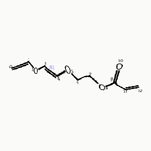 C=CO/C=C/OCCOC(=O)C=C